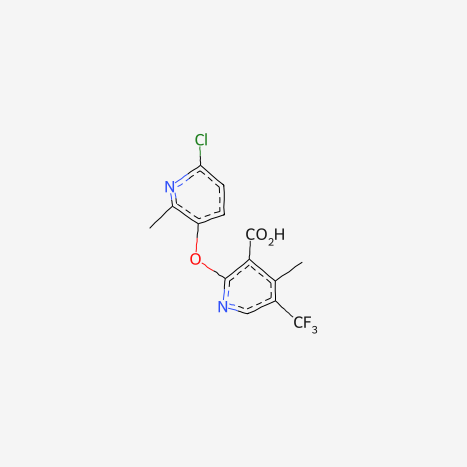 Cc1nc(Cl)ccc1Oc1ncc(C(F)(F)F)c(C)c1C(=O)O